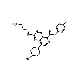 CCCCNc1ncc2c(NCc3ccc(F)cc3)ncc(C3CCC(O)CC3)c2n1